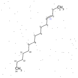 CC/C=C/CCCCCCCCCCC